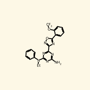 CCN(c1ccccc1)c1nc(N)nc(-c2noc(-c3ccccc3OC(F)(F)F)n2)n1